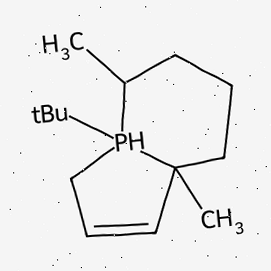 CC1CCCC2(C)C=CC[PH]12C(C)(C)C